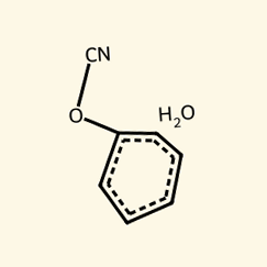 N#COc1ccccc1.O